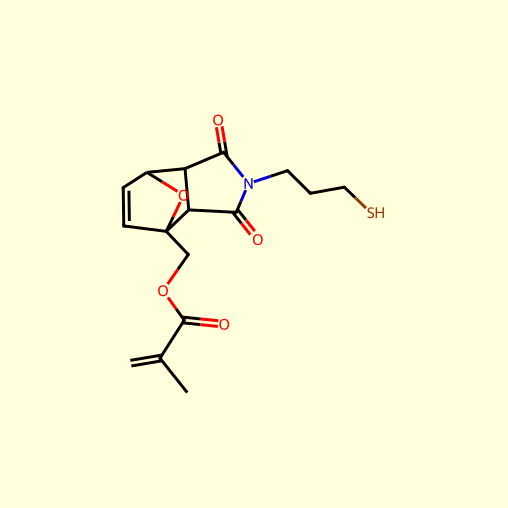 C=C(C)C(=O)OCC12C=CC(O1)C1C(=O)N(CCCS)C(=O)C12